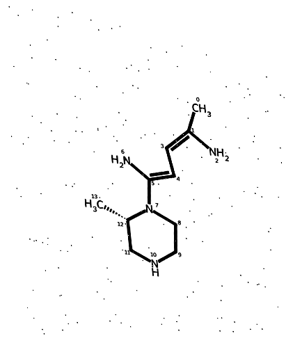 C/C(N)=C/C=C(\N)N1CCNC[C@@H]1C